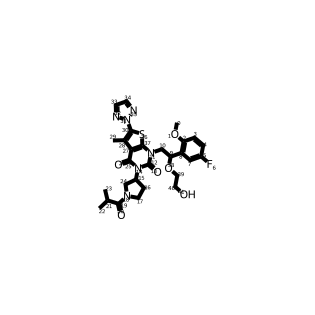 COc1ccc(F)cc1C(Cn1c(=O)n(C2CCN(C(=O)C(C)C)C2)c(=O)c2c(C)c(-n3nccn3)sc21)OCCO